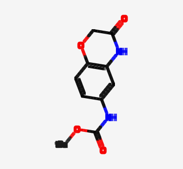 CC(C)(C)OC(=O)Nc1ccc2c(c1)NC(=O)CO2